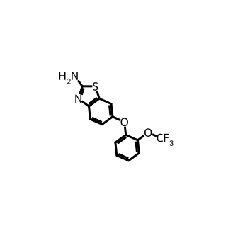 Nc1nc2ccc(Oc3ccccc3OC(F)(F)F)cc2s1